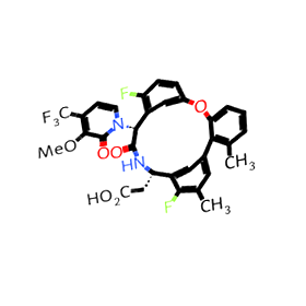 COc1c(C(F)(F)F)ccn([C@H]2C(=O)N[C@@H](CC(=O)O)c3cc(cc(C)c3F)-c3c(C)cccc3Oc3ccc(F)c2c3)c1=O